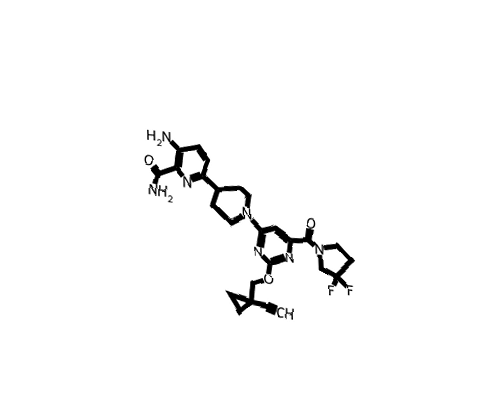 C#CC1(COc2nc(C(=O)N3CCC(F)(F)C3)cc(N3CCC(c4ccc(N)c(C(N)=O)n4)CC3)n2)CC1